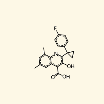 Cc1cc(C)c2nc(C3(c4ccc(F)cc4)CC3)c(O)c(C(=O)O)c2c1